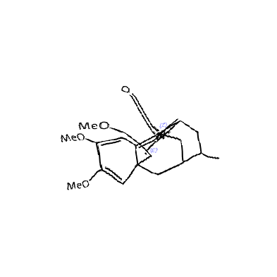 COC1=CC2=C3CC4CC2(C=C1OC)/C=C(/OC)[N+](=O)/C=C\3CC4C